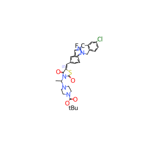 CC(N1CCN(C(=O)OC(C)(C)C)CC1)N1C(=O)S/C(=C\c2ccc3c(cnn3Cc3ccc(Cl)cc3C(F)(F)F)c2)C1=O